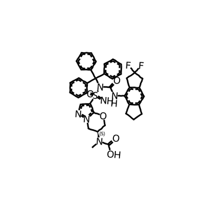 CN(C(=O)O)[C@@H]1COc2c(S(=N)(=O)N(C(=O)Nc3c4c(cc5c3CC(F)(F)C5)CCC4)C(c3ccccc3)(c3ccccc3)c3ccccc3)cnn2C1